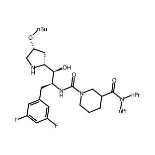 CCCCO[C@H]1CN[C@@H]([C@@H](O)[C@H](Cc2cc(F)cc(F)c2)NC(=O)N2CCCC(C(=O)N(CCC)CCC)C2)C1